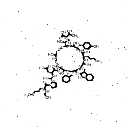 CSCCC[C@H](NCO)C(=O)N1CCC[C@H]1C(O)N[C@@H](CC(=O)O)C(O)N[C@H]1CCNC(O)CSC[C@@H](C(O)N[C@H](C(=O)O)C(C)C)NC(O)[C@H](CC2CC=C(O)CC2)NC(O)[C@H](CCCN)NC(O)[C@H](CC2CNC3CCCCC23)NC(O)[C@H](CC2CCCCC2)NC1O